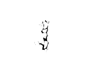 [O-][S+]1CNc2ccc(Cc3cc(Cl)cc(Cl)c3)cc21